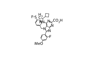 COc1ccc(-c2nc3nc(C(=O)O)nc(NC(C)C4CCC4)c3n2Cc2ccc(SF)cc2)c(F)c1